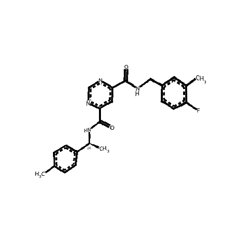 Cc1ccc([C@H](C)NC(=O)c2cc(C(=O)NCc3ccc(F)c(C)c3)ncn2)cc1